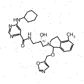 Cc1cccc2c1CCN(C[C@@H](O)CNC(=O)c1cc(NC3CCCCC3)ncn1)C2OCc1cnco1